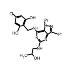 CC(O)CNc1nc(NCc2c(O)cc(Cl)cc2O)c2c(n1)c(C(C)C)nn2C(C)C